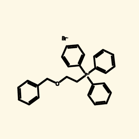 [Br-].c1ccc(COCC[P+](c2ccccc2)(c2ccccc2)c2ccccc2)cc1